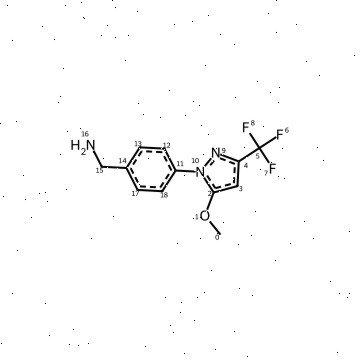 COc1cc(C(F)(F)F)nn1-c1ccc(CN)cc1